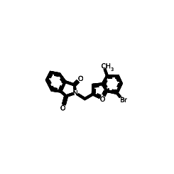 Cc1ccc(Br)c2oc(CN3C(=O)c4ccccc4C3=O)cc12